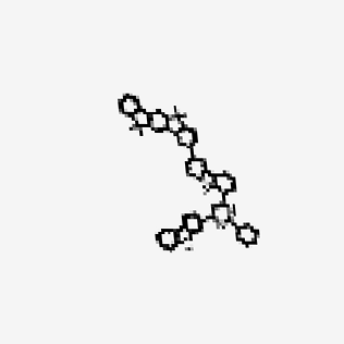 CC1(C)C2=C(CC3C(=C2)c2cc(-c4ccc5sc6c(-c7cc(-c8ccc9c(c8)oc8ccccc89)nc(-c8ccccc8)n7)cccc6c5c4)ccc2C3(C)C)c2ccccc21